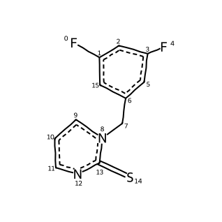 Fc1cc(F)cc(Cn2cccnc2=S)c1